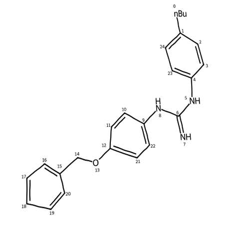 CCCCc1ccc(NC(=N)Nc2ccc(OCc3ccccc3)cc2)cc1